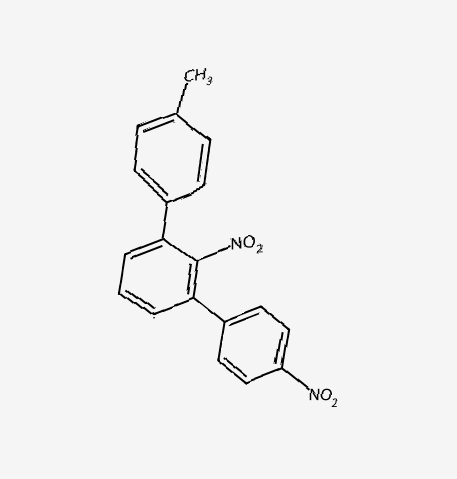 Cc1ccc(-c2cc[c]c(-c3ccc([N+](=O)[O-])cc3)c2[N+](=O)[O-])cc1